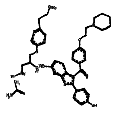 CC(N)=S.COCCc1ccc(OCC(O)CNC(C)C)cc1.O=C(c1ccc(OCCN2CCCCC2)cc1)c1c(-c2ccc(O)cc2)sc2cc(O)ccc12